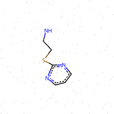 [NH]CCSc1ncccn1